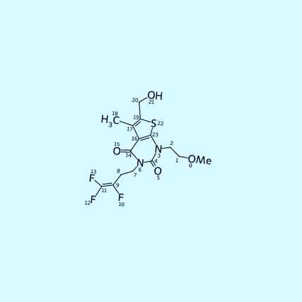 COCCn1c(=O)n(CCC(F)=C(F)F)c(=O)c2c(C)c(CO)sc21